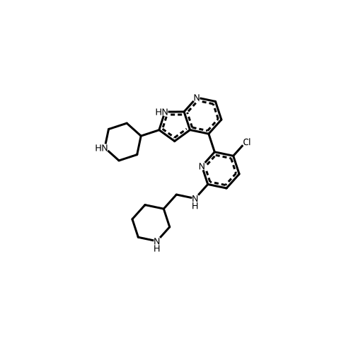 Clc1ccc(NCC2CCCNC2)nc1-c1ccnc2[nH]c(C3CCNCC3)cc12